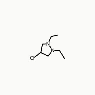 CCN1CC(Cl)CN1CC